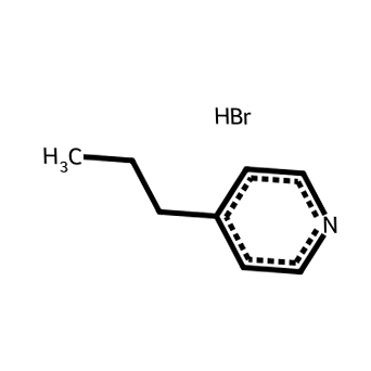 Br.CCCc1ccncc1